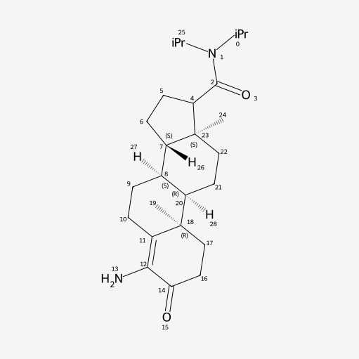 CC(C)N(C(=O)C1CC[C@H]2[C@@H]3CCC4=C(N)C(=O)CC[C@]4(C)[C@@H]3CC[C@]12C)C(C)C